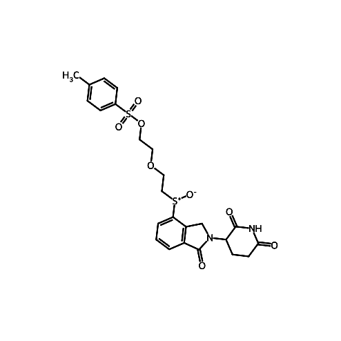 Cc1ccc(S(=O)(=O)OCCOCC[S+]([O-])c2cccc3c2CN(C2CCC(=O)NC2=O)C3=O)cc1